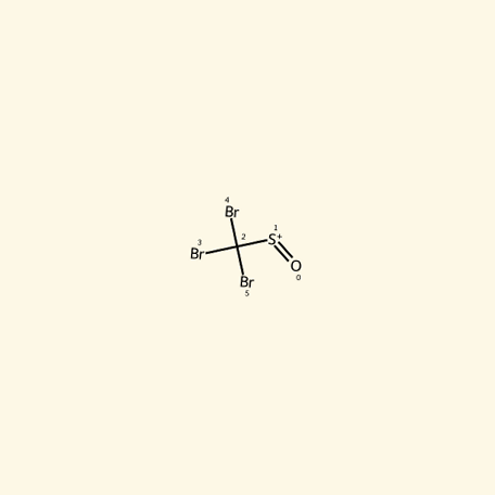 O=[S+]C(Br)(Br)Br